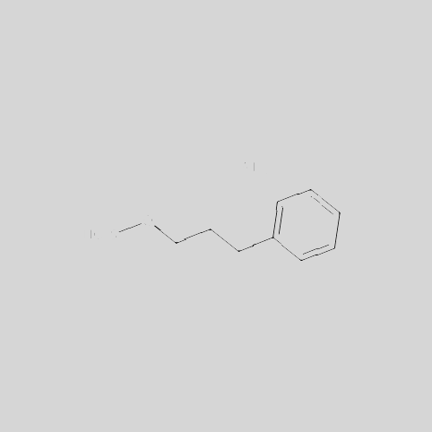 O=S(=O)(O)OCCCc1ccccc1.[AlH3]